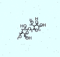 CO/C=C1/C[C@H](O)[C@@H](OCC2OCC(O)C(O)[C@@H]2COC)OC1CO